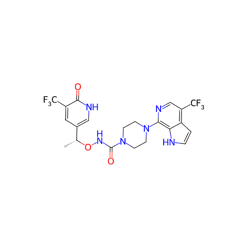 C[C@@H](ONC(=O)N1CCN(c2ncc(C(F)(F)F)c3cc[nH]c23)CC1)c1c[nH]c(=O)c(C(F)(F)F)c1